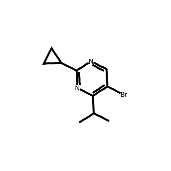 CC(C)c1nc(C2CC2)ncc1Br